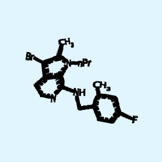 CCCn1c(C)c(Br)c2ccnc(NCc3ccc(F)cc3C)c21